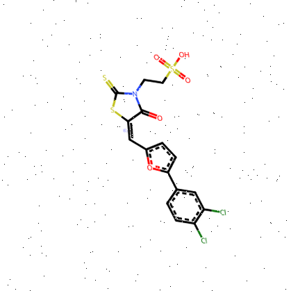 O=C1/C(=C\c2ccc(-c3ccc(Cl)c(Cl)c3)o2)SC(=S)N1CCS(=O)(=O)O